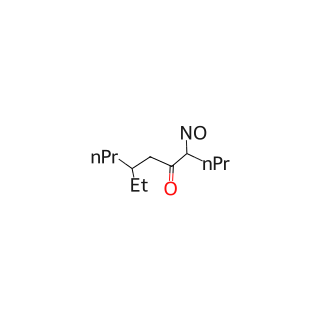 CCCC(CC)CC(=O)C(CCC)N=O